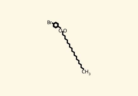 CCCCCCCCCCCCCCCCCCCC(=O)OCc1ccc(Br)cc1